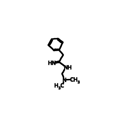 CN(C)CNC(=N)Cc1ccccc1